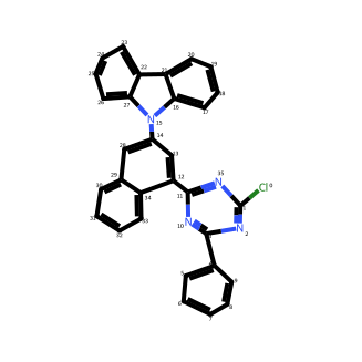 Clc1nc(-c2ccccc2)nc(-c2cc(-n3c4ccccc4c4ccccc43)cc3ccccc23)n1